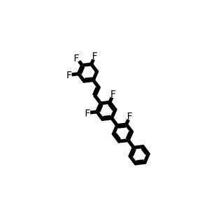 FC1=C(F)C(F)CC(/C=C/c2c(F)cc(-c3ccc(-c4ccccc4)cc3F)cc2F)=C1